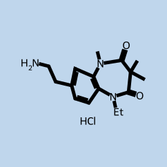 CCN1C(=O)C(C)(C)C(=O)N(C)c2cc(CCN)ccc21.Cl